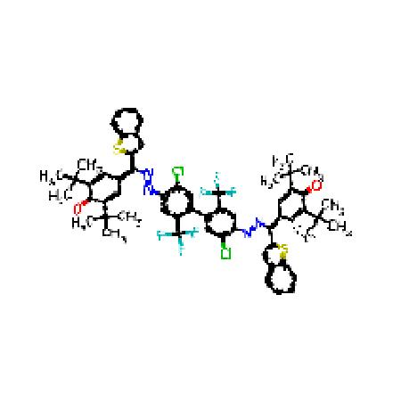 CC(C)(C)C1=CC(=C(/N=N/c2cc(C(F)(F)F)c(-c3cc(Cl)c(/N=N/C(=C4C=C(C(C)(C)C)C(=O)C(C(C)(C)C)=C4)c4cc5ccccc5s4)cc3C(F)(F)F)cc2Cl)c2cc3ccccc3s2)C=C(C(C)(C)C)C1=O